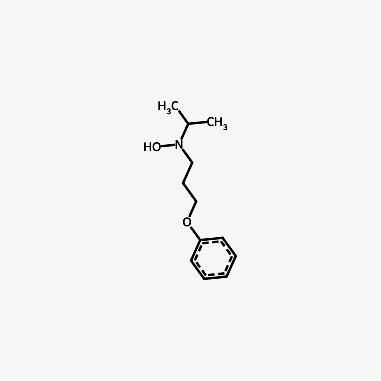 CC(C)N(O)CCCOc1ccccc1